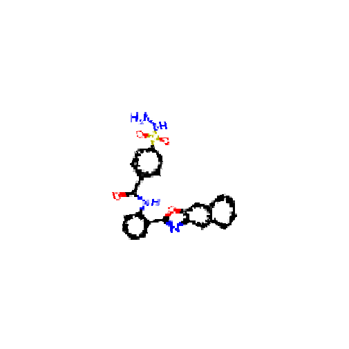 NNS(=O)(=O)c1ccc(C(=O)Nc2ccccc2-c2nc3cc4ccccc4cc3o2)cc1